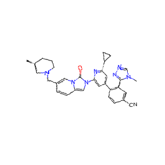 C[C@H]1CCCN(Cc2ccc3cn(-c4cc(-c5ccc(C#N)cc5-c5nncn5C)cc(C5CC5)n4)c(=O)n3c2)C1